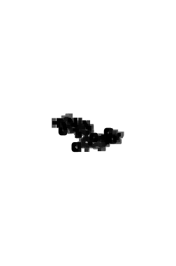 Cc1cc(Cl)cc(-c2ccnc3cc(CC4NCCNC4=O)sc23)c1O[C@H]1CCCN(C(=O)OC(C)(C)C)C1